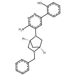 Nc1nnc(-c2ccccc2O)cc1N1C[C@@H]2C[C@H]1CN2Cc1ccccc1